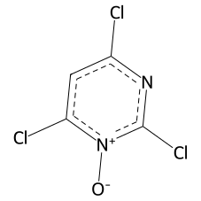 [O-][n+]1c(Cl)cc(Cl)nc1Cl